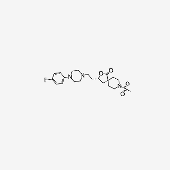 CS(=O)(=O)N1CCC2(CC1)C[C@H](CCN1CCN(c3ccc(F)cc3)CC1)OC2=O